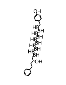 Oc1ccc(CBBBBBBBBBBCC(O)CCc2ccccc2)cc1